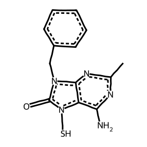 Cc1nc(N)c2c(n1)n(Cc1ccccc1)c(=O)n2S